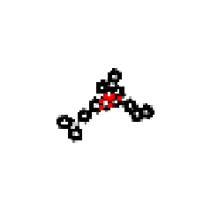 c1ccc(-c2ccccc2-c2c(-c3ccccc3)cccc2N(c2ccc(-c3ccc(-n4c5ccccc5c5ccccc54)cc3)cc2)c2ccc(-c3ccc4c(ccc5ccccc54)c3)cc2)cc1